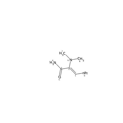 CCCC=C(C(N)=O)N(C)C